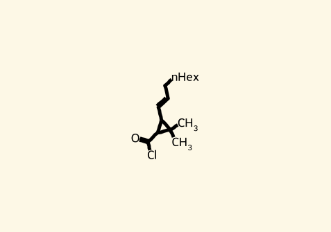 CCCCCCCC=CC1C(C(=O)Cl)C1(C)C